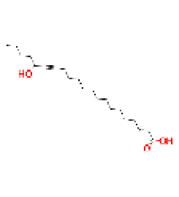 CCCCC(O)C#CCCCCCCCCCCCCCC(=O)O